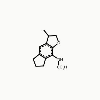 CC1COc2c1cc1c(c2NC(=O)O)CCC1